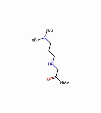 CCCCN(CCCC)CCCNCC(=O)NC